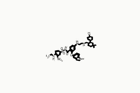 CC1(C)CCC(CNCCNc2ccc(C(=O)NS(=O)(=O)c3ccc(NCC(F)(F)F)c([N+](=O)[O-])c3)c(Oc3ccc4[nH]ccc4c3)c2)=C(c2ccc(Cl)cc2)C1